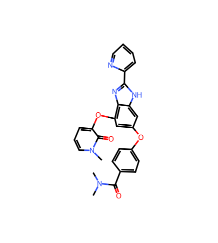 CN(C)C(=O)c1ccc(Oc2cc(Oc3cccn(C)c3=O)c3nc(-c4ccccn4)[nH]c3c2)cc1